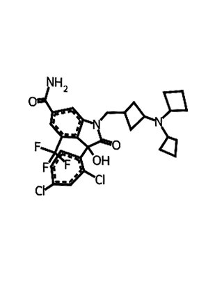 NC(=O)c1cc2c(c(C(F)(F)F)c1)C(O)(c1ccc(Cl)cc1Cl)C(=O)N2CC1CC(N(C2CCC2)C2CCC2)C1